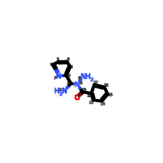 NC(c1ccccn1)N(N)C(=O)c1ccccc1